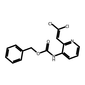 O=C(Nc1cccnc1C=C(Cl)Cl)OCc1ccccc1